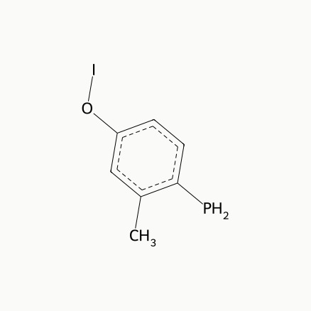 Cc1cc(OI)ccc1P